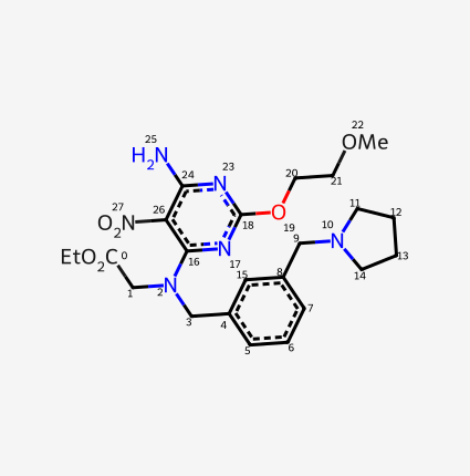 CCOC(=O)CN(Cc1cccc(CN2CCCC2)c1)c1nc(OCCOC)nc(N)c1[N+](=O)[O-]